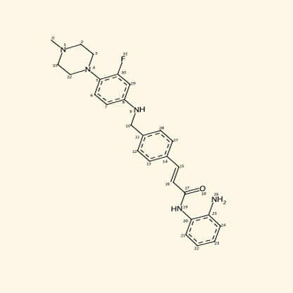 CN1CCN(c2ccc(NCc3ccc(/C=C/C(=O)Nc4ccccc4N)cc3)cc2F)CC1